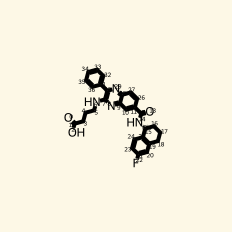 O=C(O)CCCNc1nc2cc(C(=O)N[C@@H]3CCCc4cc(F)ccc43)ccc2nc1-c1ccccc1